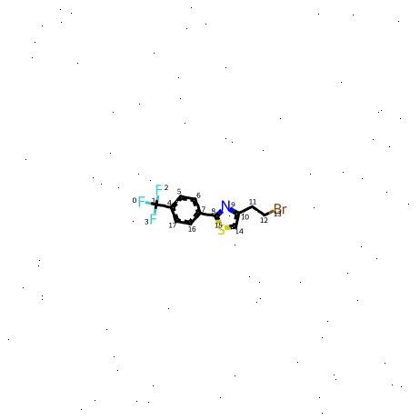 FC(F)(F)c1ccc(-c2nc(CCBr)cs2)cc1